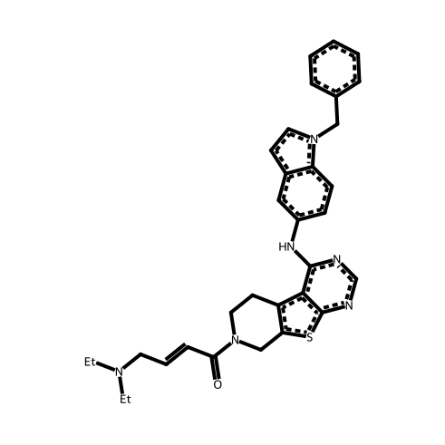 CCN(CC)C/C=C/C(=O)N1CCc2c(sc3ncnc(Nc4ccc5c(ccn5Cc5ccccc5)c4)c23)C1